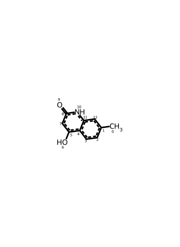 Cc1ccc2c(O)cc(=O)[nH]c2c1